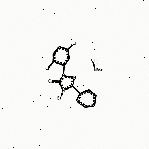 CCn1c(-c2ccccc2)nn(-c2cc(Cl)ccc2Cl)c1=O.CNC